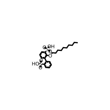 CCCCCCCCCCOc1c(-c2ccccc2S(=O)(=O)O)cccc1S(=O)(=O)O